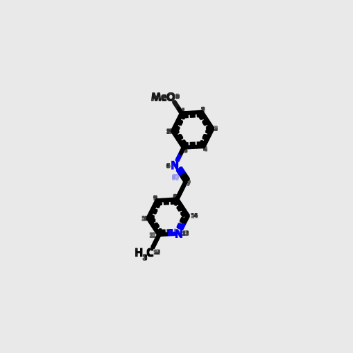 COc1cccc(/N=C/c2ccc(C)nc2)c1